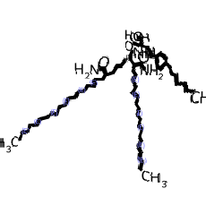 CC/C=C/C/C=C/C/C=C/C/C=C/C/C=C/C/C=C/CC(CCCC[C@H](C(=O)NC(CO)(CO)CCc1ccc(CCCCCCCC)cc1)C(C/C=C/C/C=C/C/C=C/C/C=C/C/C=C/C/C=C/CC)C(N)=O)C(N)=O